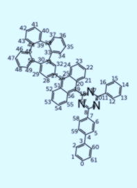 c1ccc(-c2ccc(-c3nc(-c4ccccc4)nc(-c4c5ccccc5c(-c5ccc6c(c5)-c5ccccc5-c5ccccc5-c5ccccc5-6)c5ccccc45)n3)cc2)cc1